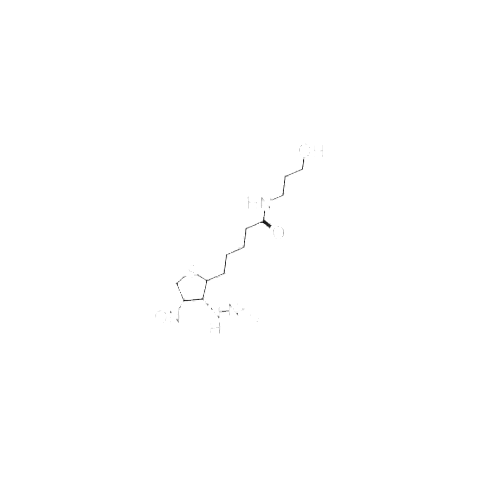 NN[C@@H]1C(CCCCC(=O)NCCCO)SC[C@@H]1N=O